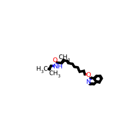 CC(C=CCCCCCCOc1nccc2ccccc12)=CC(=O)NCC(C)C